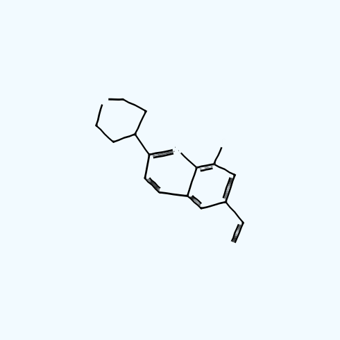 C=Cc1cc(F)c2nc(C3CCOCC3)ccc2c1